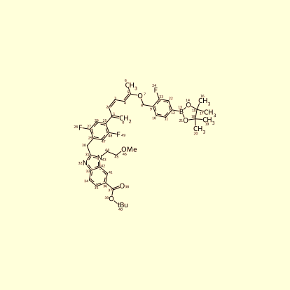 C=C(/C=C\C=C(/C)OCc1ccc(B2OC(C)(C)C(C)(C)O2)cc1F)c1cc(F)c(Cc2nc3ccc(C(=O)OC(C)(C)C)cc3n2CCOC)cc1F